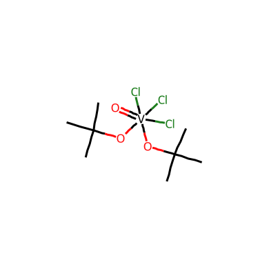 CC(C)(C)[O][V](=[O])([Cl])([Cl])([Cl])[O]C(C)(C)C